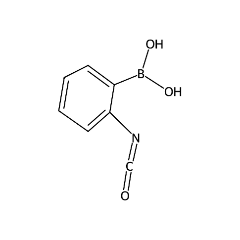 O=C=Nc1ccccc1B(O)O